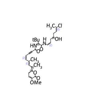 COC1=CC[C@@H]([C@@H](C)/C=C(C)/C=C\C#CC(=O)N[C@H](C(=O)N/C=C\C[C@@H](O)C/C=C(\C)Cl)C(C)(C)C)OC1=O